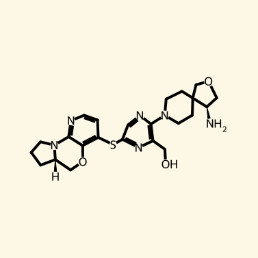 N[C@@H]1COCC12CCN(c1ncc(Sc3ccnc4c3OC[C@@H]3CCCN43)nc1CO)CC2